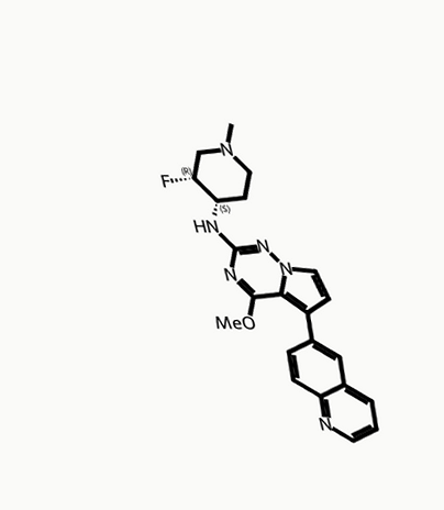 COc1nc(N[C@H]2CCN(C)C[C@H]2F)nn2ccc(-c3ccc4ncccc4c3)c12